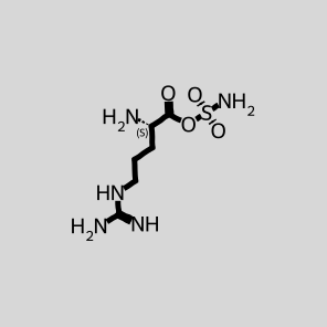 N=C(N)NCCC[C@H](N)C(=O)OS(N)(=O)=O